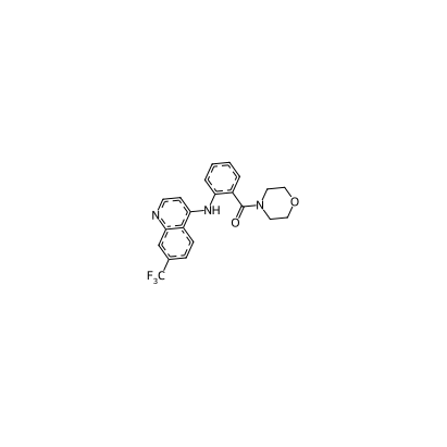 O=C(c1ccccc1Nc1ccnc2cc(C(F)(F)F)ccc12)N1CCOCC1